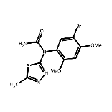 COc1cc(OC)c(N(C(N)=O)c2nnc(C)s2)cc1Br